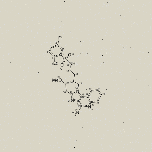 CCc1ccc(F)cc1S(=O)(=O)NCCCCn1c(CCOC)nc2c(N)nc3ccccc3c21